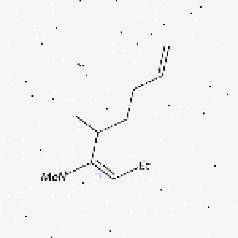 C=CCCC(C)/C(=C\CC)NC